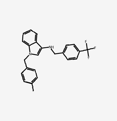 Cc1ccc(Cn2cc(NCc3ccc(C(F)(F)F)cc3)c3ccccc32)cc1